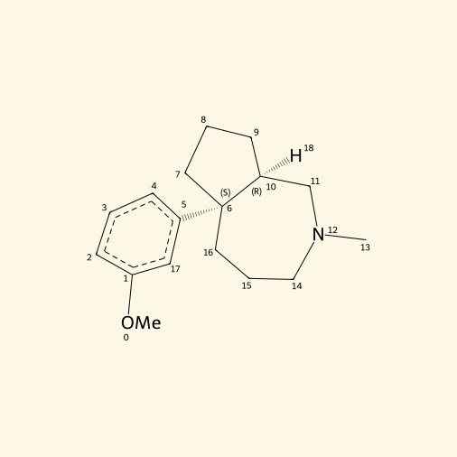 COc1cccc([C@]23CCC[C@H]2CN(C)CCC3)c1